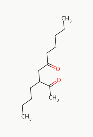 CCCCCC(=O)CC(CCCC)C(C)=O